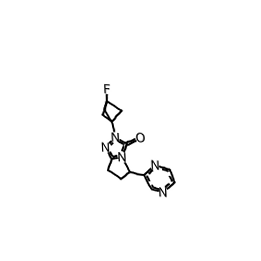 O=c1n(C23CC(F)(C2)C3)nc2n1C(c1cnccn1)CC2